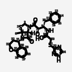 CC12SCN(C(=O)[C@@H](O)[C@H](Cc3ccccc3)NC(=O)CSc3nc[nH]n3)[C@@H]1C(=O)N2[C@H]1CCOc2ccccc21